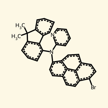 CC1(C)c2ccccc2-c2c(N(c3ccccn3)c3ccc4ccc5c(Br)ccc6ccc3c4c65)cccc21